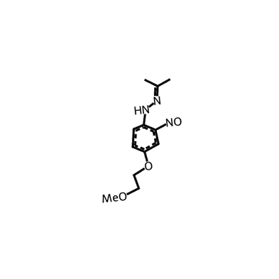 COCCOc1ccc(NN=C(C)C)c(N=O)c1